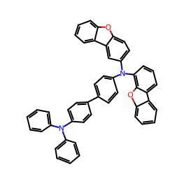 c1ccc(N(c2ccccc2)c2ccc(-c3ccc(N(c4ccc5oc6ccccc6c5c4)c4cccc5c4oc4ccccc45)cc3)cc2)cc1